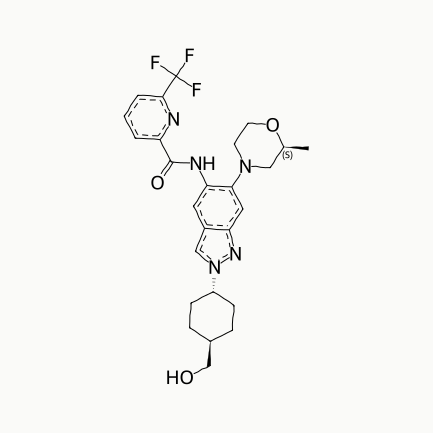 C[C@H]1CN(c2cc3nn([C@H]4CC[C@H](CO)CC4)cc3cc2NC(=O)c2cccc(C(F)(F)F)n2)CCO1